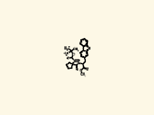 COC(=O)C(Cc1ccc2c(c1)oc1ccccc12)NC(=O)C1(NC(=O)OC(C)(C)C)CCCC1